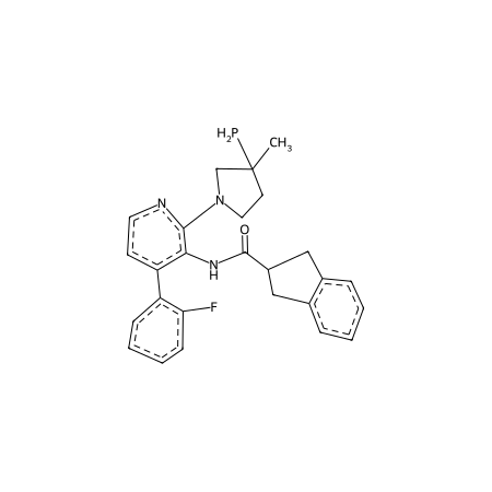 CC1(P)CCN(c2nccc(-c3ccccc3F)c2NC(=O)C2Cc3ccccc3C2)C1